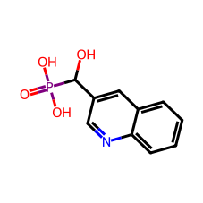 O=P(O)(O)C(O)c1cnc2ccccc2c1